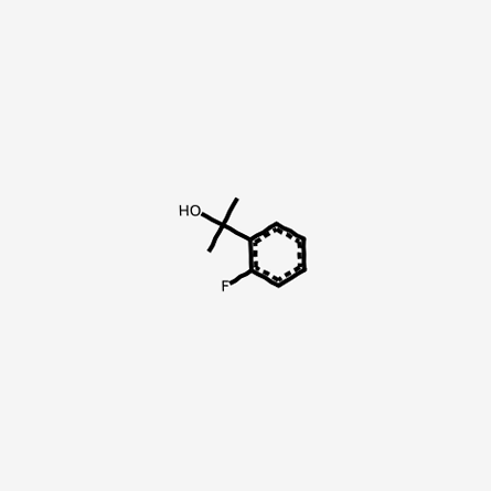 CC(C)(O)c1ccccc1F